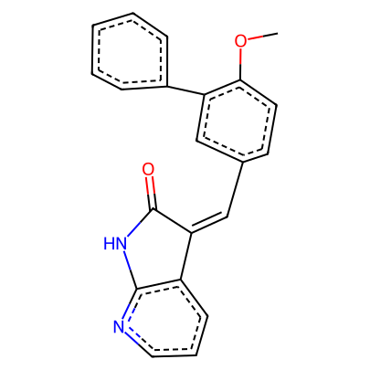 COc1ccc(/C=C2\C(=O)Nc3ncccc32)cc1-c1ccccc1